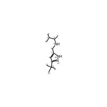 CC(C)C(C)NCc1cc(C(C)(C)C)n[nH]1